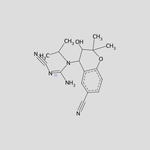 CC(C)N(/C(N)=N\C#N)C1c2cc(C#N)ccc2OC(C)(C)C1O